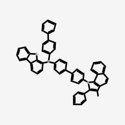 Cc1c(-c2ccccc2)n(-c2ccc(-c3ccc(N(c4ccc(-c5ccccc5)cc4)c4cccc5c4sc4ccccc45)cc3)cc2)c2c1ccc1ccccc12